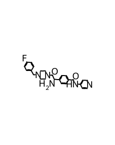 NC(C(=O)N1CCN(Cc2ccc(F)cc2)CC1)c1ccc(C(=O)Nc2ccncc2)cc1